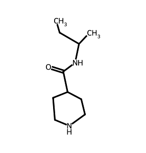 CCC(C)NC(=O)C1CCNCC1